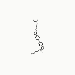 CCCCCC[C@@H](C)Oc1ccc(-c2ccc(OCCCCCC(C)CC)cc2)cc1